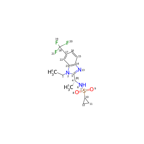 CCn1c([C@@H](C)NS(=O)(=O)C2CC2)nc2ccc(C(F)(F)F)cc21